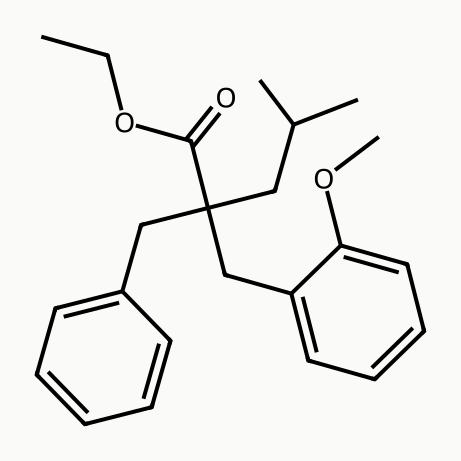 CCOC(=O)C(Cc1ccccc1)(Cc1ccccc1OC)CC(C)C